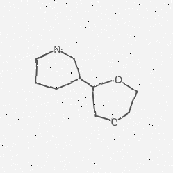 C1C[N]CC(C2COCCO2)C1